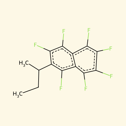 CCC(C)c1c(F)c(F)c2c(F)c(F)c(F)c(F)c2c1F